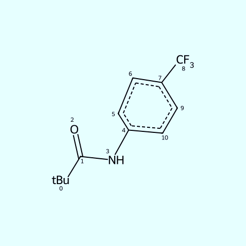 CC(C)(C)C(=O)Nc1ccc(C(F)(F)F)cc1